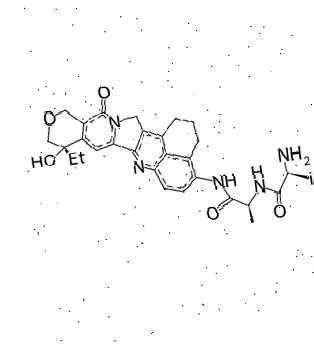 CC[C@@]1(O)COCc2c1cc1n(c2=O)Cc2c-1nc1ccc(NC(=O)[C@H](C)NC(=O)[C@@H](N)C(C)C)c3c1c2CCC3